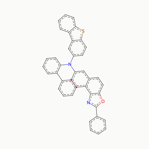 c1ccc(-c2nc3c(ccc4cc(N(c5ccc6sc7ccccc7c6c5)c5ccccc5-c5ccccc5)ccc43)o2)cc1